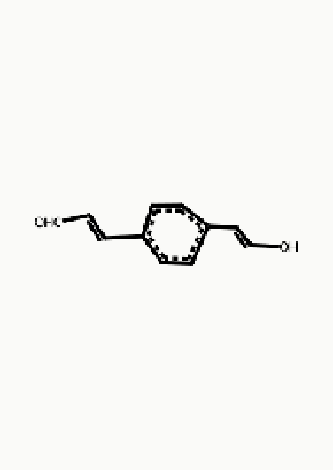 O=CC=Cc1ccc(C=CO)cc1